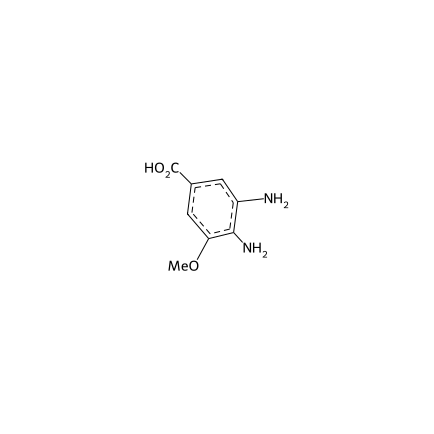 COc1cc(C(=O)O)cc(N)c1N